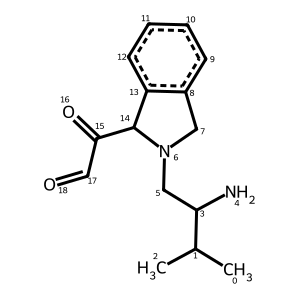 CC(C)C(N)CN1Cc2ccccc2C1C(=O)C=O